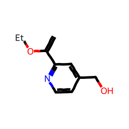 C=C(OCC)c1cc(CO)ccn1